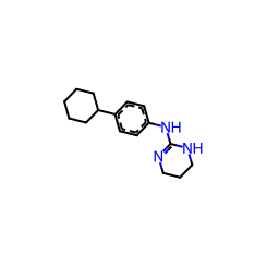 c1cc(C2CCCCC2)ccc1NC1=NCCCN1